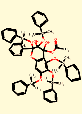 CC(=O)OC1(O)c2c(cc(O[Si](C)(C)c3ccccc3)c(O[Si](C)(C)c3ccccc3)c2O[Si](C)(C)c2ccccc2)OC(O[Si](C)(C)c2ccccc2)(c2ccccc2)C1(O)O[Si](C)(C)c1ccccc1